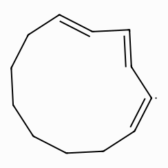 [C]1=C\CCCCCC/C=C/C=C/1